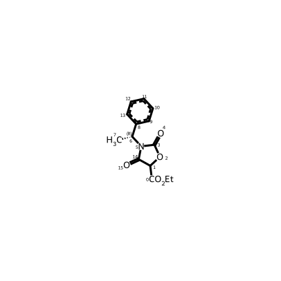 CCOC(=O)C1OC(=O)N([C@H](C)c2ccccc2)C1=O